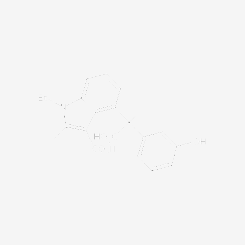 CCn1c(C)c(C(=O)O)c2c(C(C)(C(=O)O)c3cccc(O)c3)cccc21